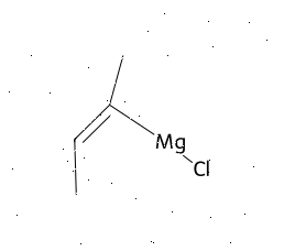 CC=[C](C)[Mg][Cl]